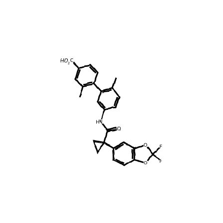 Cc1cc(C(=O)O)ccc1-c1cc(NC(=O)C2(c3ccc4c(c3)OC(F)(F)O4)CC2)ccc1C